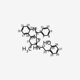 CC(Cc1nc(-c2ccccc2)nc2ccccc12)C(=O)NCCc1ccccc1O